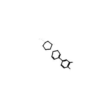 CCCCCC[C@H]1CC[C@H](C2C=CC(c3ccc(F)c(F)c3)=CC2)CC1